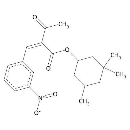 CC(=O)C(=Cc1cccc([N+](=O)[O-])c1)C(=O)OC1CC(C)CC(C)(C)C1